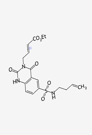 C=CCCNS(=O)(=O)c1ccc2[nH]c(=O)n(C/C=C/C(=O)OCC)c(=O)c2c1